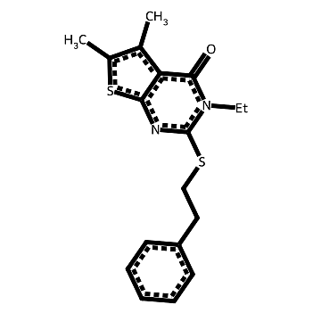 CCn1c(SCCc2ccccc2)nc2sc(C)c(C)c2c1=O